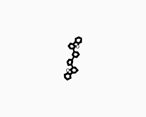 c1cc(-c2cccc(-c3cccc4c3oc3ccccc34)c2)cc(-c2cccc3c2oc2ccccc23)c1